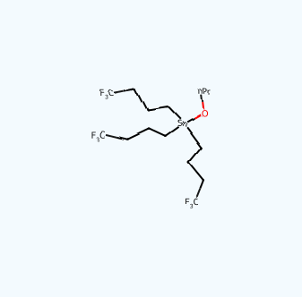 CCC[O][Sn]([CH2]CCC(F)(F)F)([CH2]CCC(F)(F)F)[CH2]CCC(F)(F)F